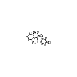 CC(=O)c1cccc2c1N(Cc1ccc(Cl)cc1)C(=O)CO2